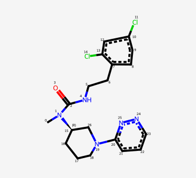 CN(C(=O)NCCc1ccc(Cl)cc1Cl)[C@@H]1CCCN(c2cccnn2)C1